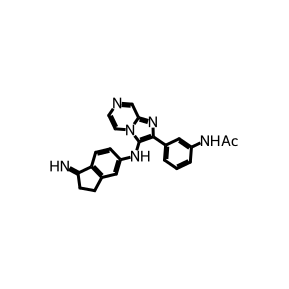 CC(=O)Nc1cccc(-c2nc3cnccn3c2Nc2ccc3c(c2)CCC3=N)c1